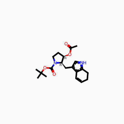 CC(=O)O[C@@H]1CCN(C(=O)OC(C)(C)C)[C@@H]1Cc1c[nH]c2c1C=CCC2